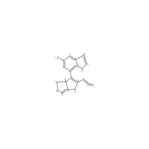 C=CC1=C(c2cc(F)cc3ccsc23)N2CCN=C2S1